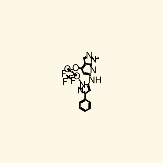 Cn1nc(-c2ccccc2)cc1Nc1cc(OS(=O)(=O)C(F)(F)F)c2cnn(C)c2n1